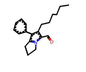 CCCCCCc1c(-c2ccccc2)c2n(c1C=O)CCC2